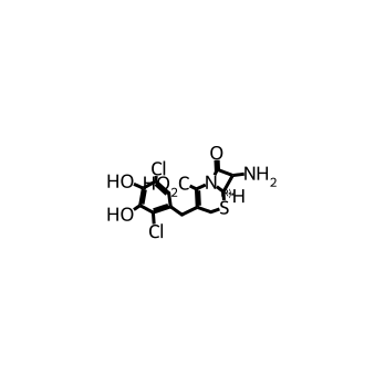 NC1C(=O)N2C(C(=O)O)=C(Cc3cc(Cl)c(O)c(O)c3Cl)CS[C@H]12